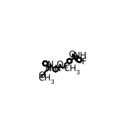 COCCCn1c([C@@H]2CCCN(C(=O)C[C@H](C)Cc3ccc(-n4c(=O)[nH]c5cc(F)ccc54)cc3)C2)nc2ccccc21